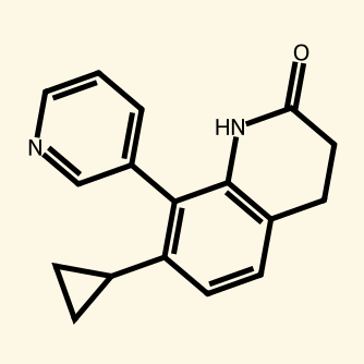 O=C1CCc2ccc(C3CC3)c(-c3cccnc3)c2N1